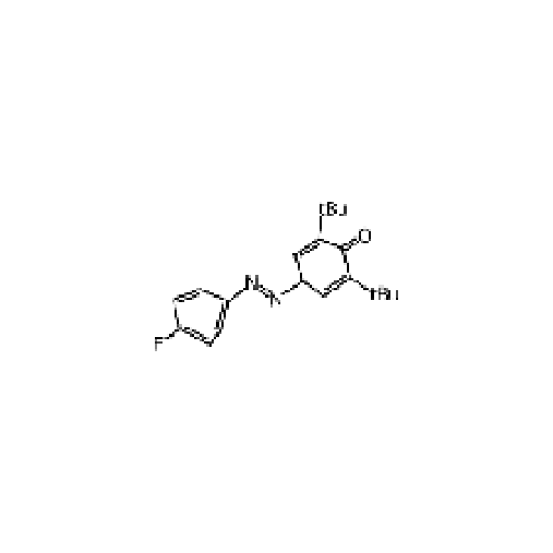 CC(C)(C)C1=CC(N=Nc2ccc(F)cc2)C=C(C(C)(C)C)C1=O